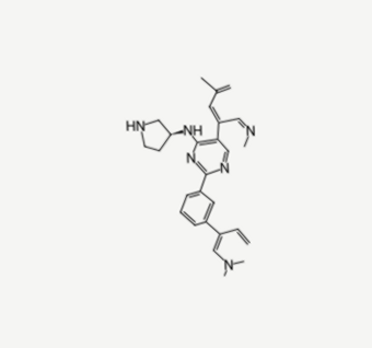 C=C/C(=C\N(C)C)c1cccc(-c2ncc(C(/C=N\C)=C/C(=C)C)c(N[C@H]3CCNC3)n2)c1